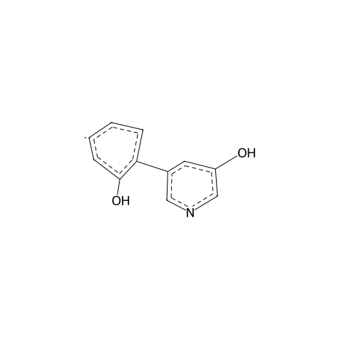 Oc1cncc(-c2cc[c]cc2O)c1